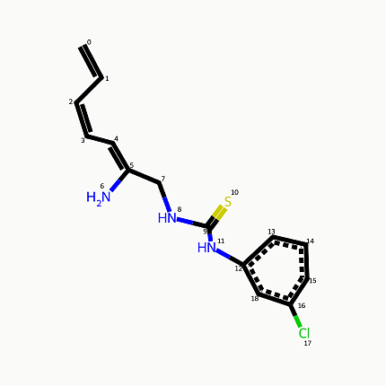 C=C/C=C\C=C(/N)CNC(=S)Nc1cccc(Cl)c1